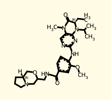 CC[C@@H]1C(=O)N(C)c2cnc(Nc3ccc(C(=O)NCC4CN5CCC[C@@H]5CO4)cc3OC)nc2N1C(C)C